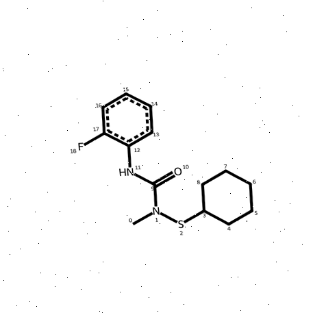 CN(SC1CCCCC1)C(=O)Nc1ccccc1F